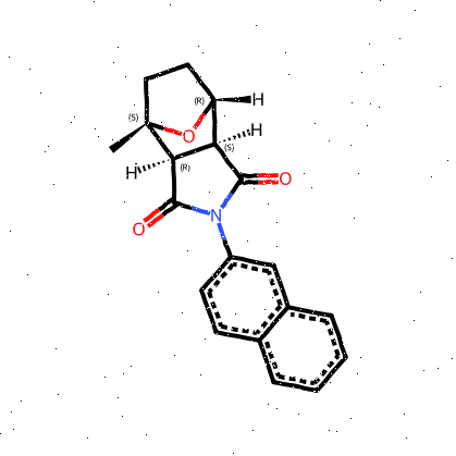 C[C@@]12CC[C@@H](O1)[C@H]1C(=O)N(c3ccc4ccccc4c3)C(=O)[C@H]12